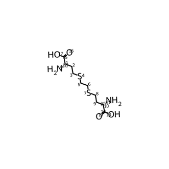 N[C@@H](CCSCCSCC[C@H](N)C(=O)O)C(=O)O